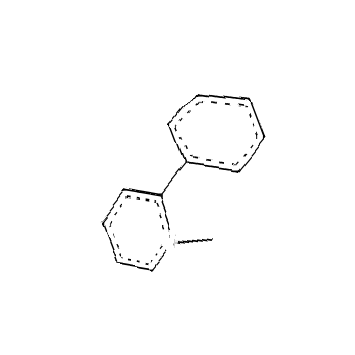 F[n+]1ccccc1-c1ccccc1